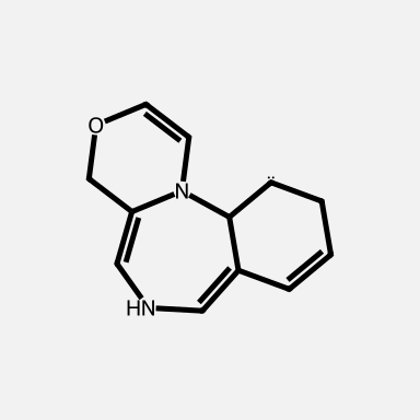 [C]1CC=CC2=CNC=C3COC=CN3C12